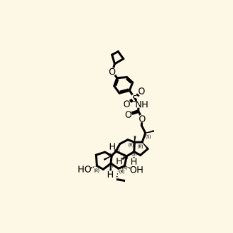 CC[C@H]1[C@@H](O)[C@@H]2[C@H](CC[C@]3(C)[C@@H]([C@H](C)COC(=O)NS(=O)(=O)c4ccc(OC5CCC5)cc4)CC[C@@H]23)[C@@]2(C)CC[C@@H](O)C[C@@H]12